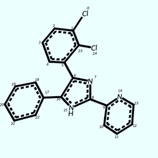 Clc1cccc(-c2nc(-c3ccccn3)[nH]c2-c2ccccc2)c1Cl